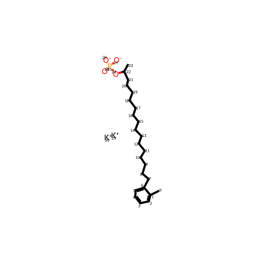 Cc1ccccc1CCCCCCCCCCCCCCCC(C)OP(=O)([O-])[O-].[K+].[K+]